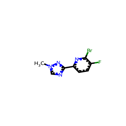 Cn1cnc(-c2ccc(F)c(Br)n2)n1